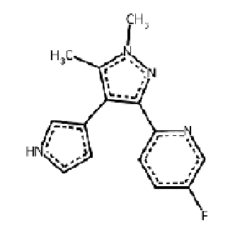 Cc1c(-c2cc[nH]c2)c(-c2ccc(F)cn2)nn1C